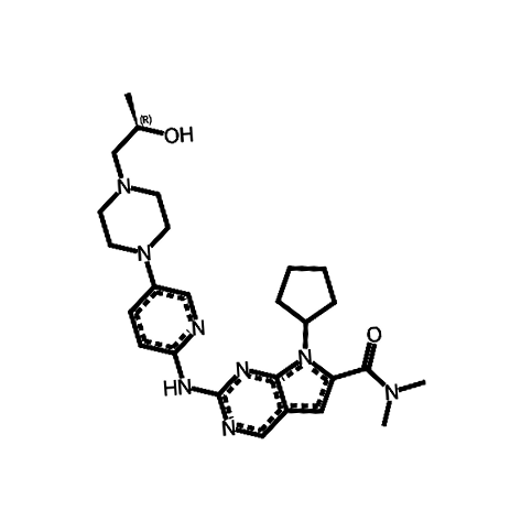 C[C@@H](O)CN1CCN(c2ccc(Nc3ncc4cc(C(=O)N(C)C)n(C5CCCC5)c4n3)nc2)CC1